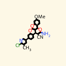 COc1ccc2c3c(c(=O)oc2c1)C(c1ccc(-c2cnc(Cl)c(C)c2)cc1)C(C#N)=C(N)O3